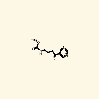 CC(C)(C)OC(=O)NCCCC(=O)c1cncnc1